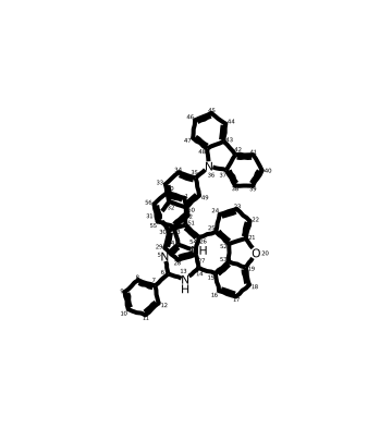 c1ccc(C2=NC(c3ccccc3)NC(c3cccc4oc5cccc(-c6cccc7oc8ccc(-n9c%10ccccc%10c%10ccccc%109)cc8c67)c5c34)N2)cc1